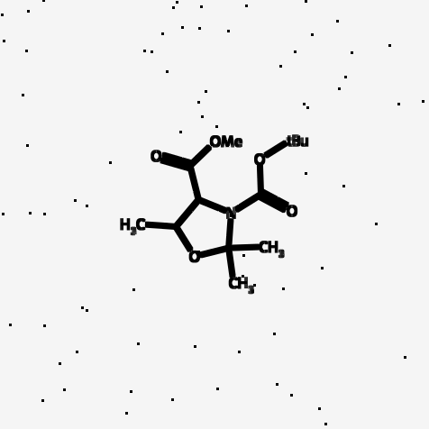 COC(=O)C1C(C)OC(C)(C)N1C(=O)OC(C)(C)C